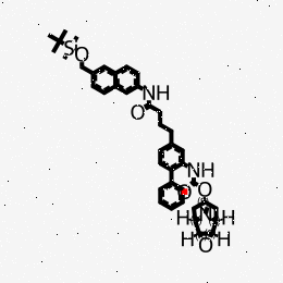 CN1[C@@H]2C[C@@H](OC(=O)Nc3cc(CCCC(=O)Nc4ccc5cc(CO[Si](C)(C)C(C)(C)C)ccc5c4)ccc3-c3ccccc3)C[C@H]1[C@@H]1O[C@@H]12